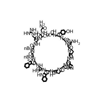 CCCC[C@H]1C(=O)N(C)[C@@H](CCCC)C(=O)N[C@@H](CCCNC(=N)N)C(=O)NC(C(=O)NCC(N)=O)CSCC(=O)N[C@@H](Cc2ccc(O)cc2)C(=O)N(C)[C@@H](C)C(=O)N[C@@H](CC(N)=O)C(=O)N2CCC[C@H]2C(=O)N[C@@H](Cc2cnc[nH]2)C(=O)N[C@@H](CC(C)C)C(=O)N2[C@@H](C)CC[C@H]2C(=O)N[C@@H](Cc2c[nH]c3ccccc23)C(=O)N[C@@H](CO)C(=O)N[C@@H](Cc2csc3ccccc23)C(=O)N1C